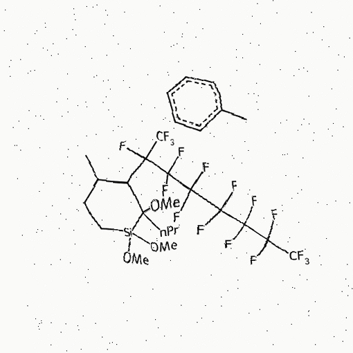 CCCC1(OC)C(C(F)(C(F)(F)F)C(F)(F)C(F)(F)C(F)(F)C(F)(F)C(F)(F)C(F)(F)F)C(C)CC[Si]1(OC)OC.Cc1ccccc1